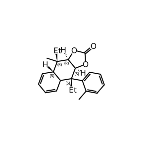 CC[C@]1(C)[C@H]2C=CC=CC2[C@@](CC)(c2ccccc2C)[C@@H]2OC(=O)O[C@@H]21